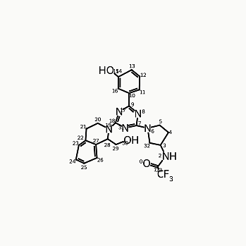 O=C(NC1CCN(c2nc(-c3cccc(O)c3)nc(N3CCc4ccccc4C3CO)n2)C1)C(F)(F)F